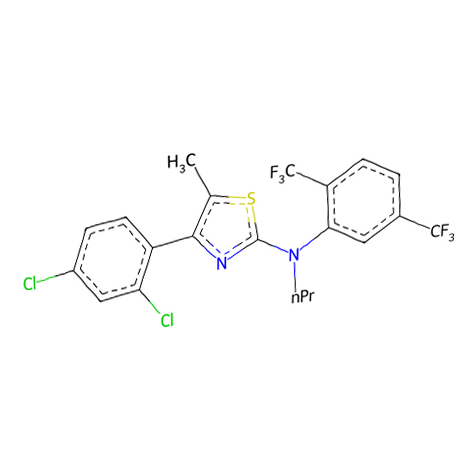 CCCN(c1nc(-c2ccc(Cl)cc2Cl)c(C)s1)c1cc(C(F)(F)F)ccc1C(F)(F)F